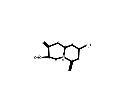 C=C1CC2CC(O)CC(=C)N2CC1C=O